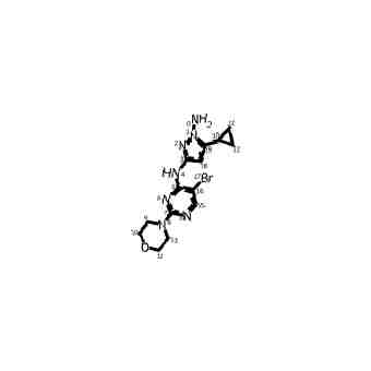 Nn1nc(Nc2nc(N3CCOCC3)ncc2Br)cc1C1CC1